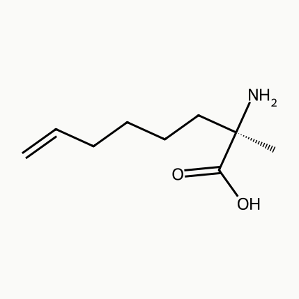 C=CCCCC[C@@](C)(N)C(=O)O